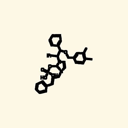 Cc1ccc(COC(c2ccccc2)C(C(C)C)N2C=CN(C/C=C/c3ccccc3)C2OP(=O)(O)O)cc1C